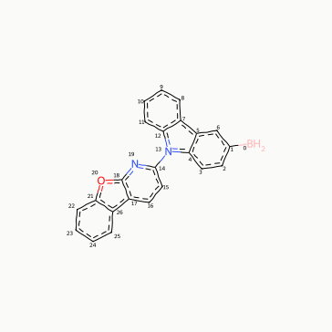 Bc1ccc2c(c1)c1ccccc1n2-c1ccc2c(n1)oc1ccccc12